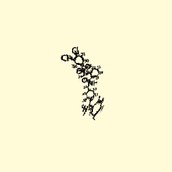 CN(C)C(c1ccccc1)C1CCC(CNC(=O)c2ccccc2N(C)S(=O)(=O)c2ccc(Cl)c(Cl)c2)CC1